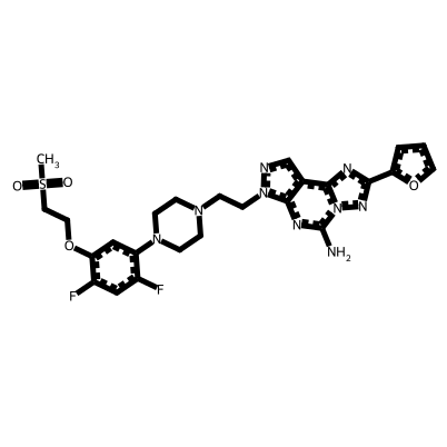 CS(=O)(=O)CCOc1cc(N2CCN(CCn3ncc4c3nc(N)n3nc(-c5ccco5)nc43)CC2)c(F)cc1F